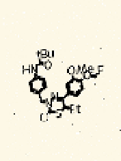 CCC1SC(=O)N(Cc2ccc(NC(=O)C(C)(C)C)cc2)N=C1c1ccc(OCF)c(OC)c1